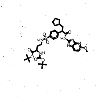 COc1ccc2nc(NC(=O)C(CC3CCCC3)c3ccc(S(=O)(=O)NCCC(NC(=O)OC(C)(C)C)C(=O)OC(C)(C)C)cc3)sc2n1